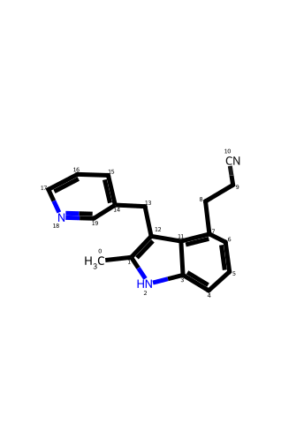 Cc1[nH]c2cccc(CCC#N)c2c1Cc1cccnc1